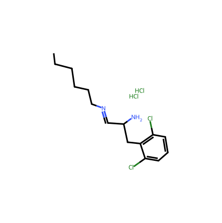 CCCCCCN=CC(N)Cc1c(Cl)cccc1Cl.Cl.Cl